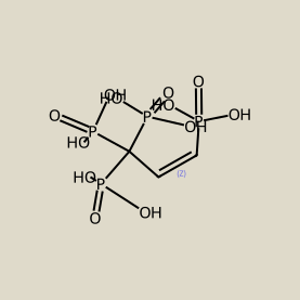 O=P(O)(O)/C=C\C(P(=O)(O)O)(P(=O)(O)O)P(=O)(O)O